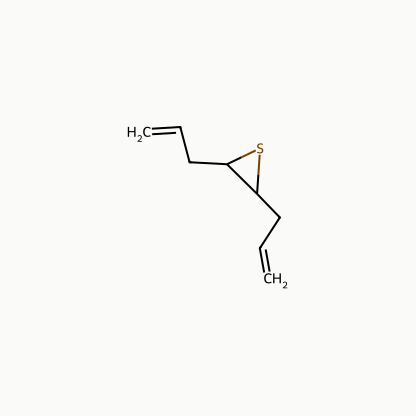 C=CCC1SC1CC=C